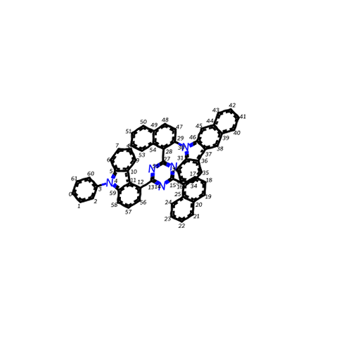 c1ccc(-n2c3ccccc3c3c(-c4nc(-c5cccc6ccccc56)nc(-c5c(-n6c7ccccc7c7cc8ccccc8cc76)ccc6ccccc56)n4)cccc32)cc1